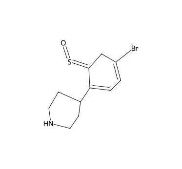 O=S=C1CC(Br)=CC=C1C1CCNCC1